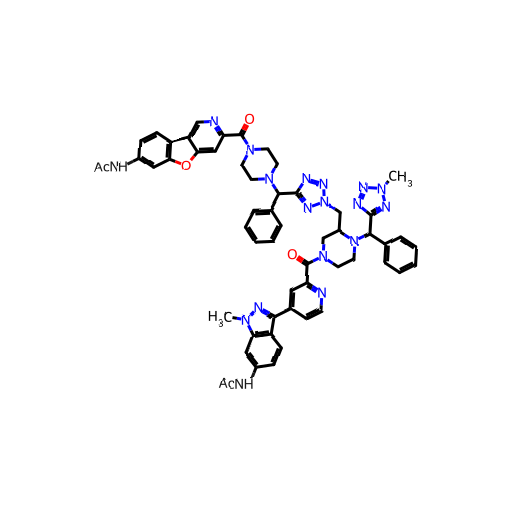 CC(=O)Nc1ccc2c(c1)oc1cc(C(=O)N3CCN(C(c4ccccc4)c4nnn(CC5CN(C(=O)c6cc(-c7nn(C)c8cc(NC(C)=O)ccc78)ccn6)CCN5C(c5ccccc5)c5nnn(C)n5)n4)CC3)ncc12